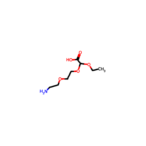 CCOC(OCCOCCN)C(=O)O